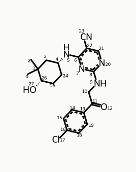 CC1(C)C[C@H](Nc2nc(NCC(=O)c3ccc(Cl)cc3)ncc2C#N)CC[C@@H]1O